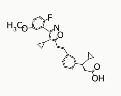 COc1ccc(F)c(-c2noc(/C=C/c3cccc([C@H](CC(=O)O)C4CC4)c3)c2C2CC2)c1